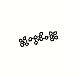 c1ccc(C2(c3ccccc3)c3ccccc3N(c3ccc(-c4ccc5c6c4c4ccccc4n6c4ccc(-c6ccc(N7c8ccccc8C(c8ccccc8)(c8ccccc8)c8ccccc87)cc6)c6c7ccccc7n5c64)cc3)c3ccccc32)cc1